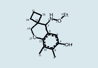 CCONC1c2cc(O)c(C)c(C)c2OCC12CCC2